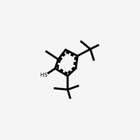 Cc1cc(C(C)(C)C)cc(C(C)(C)C)c1S